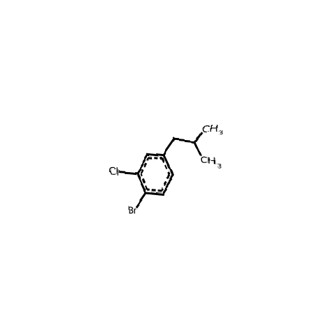 CC(C)Cc1ccc(Br)c(Cl)c1